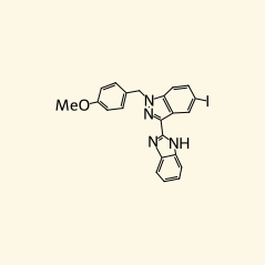 COc1ccc(Cn2nc(-c3nc4ccccc4[nH]3)c3cc(I)ccc32)cc1